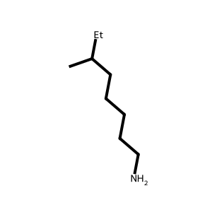 CCC(C)CCCCCN